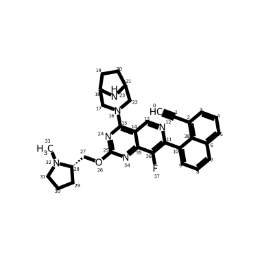 C#Cc1cccc2cccc(-c3ncc4c(N5CC6CCC(C5)N6)nc(OC[C@@H]5CCCN5C)nc4c3F)c12